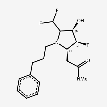 CNC(=O)C[C@@H]1[C@H](F)[C@H](O)C(C(F)F)N1CCCc1ccccc1